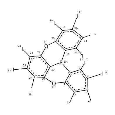 Cc1c(C)c2c(c(I)c1I)B1c3c(I)c(I)c(I)c(I)c3Oc3c(I)c(I)c(I)c(c31)O2